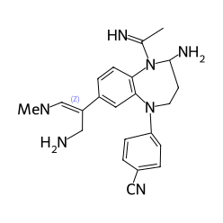 CN/C=C(\CN)c1ccc2c(c1)N(c1ccc(C#N)cc1)CCC(N)N2C(C)=N